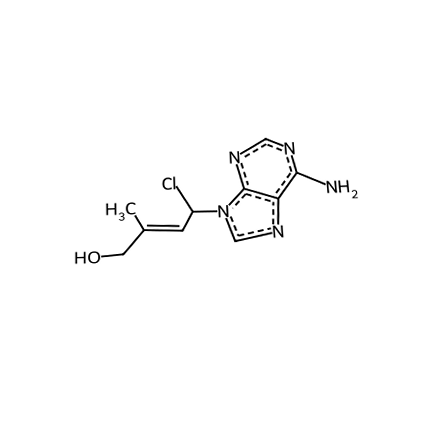 C/C(=C\C(Cl)n1cnc2c(N)ncnc21)CO